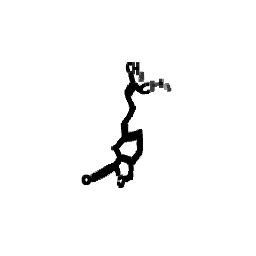 CC(C)=CCCC1=CCC2=C(C1)C(=O)OC2